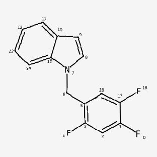 Fc1cc(F)c(Cn2ccc3ccccc32)cc1F